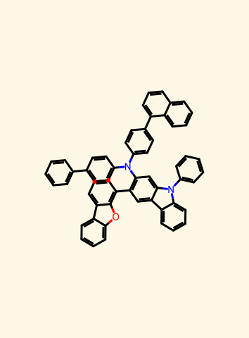 c1ccc(-c2ccc(N(c3ccc(-c4cccc5ccccc45)cc3)c3cc4c(cc3-c3cccc5c3oc3ccccc35)c3ccccc3n4-c3ccccc3)cc2)cc1